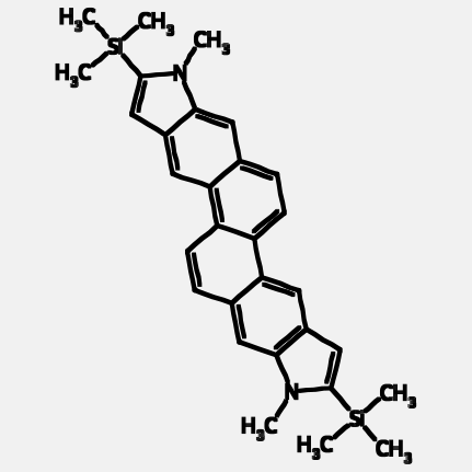 Cn1c([Si](C)(C)C)cc2cc3c(ccc4c5cc6cc([Si](C)(C)C)n(C)c6cc5ccc34)cc21